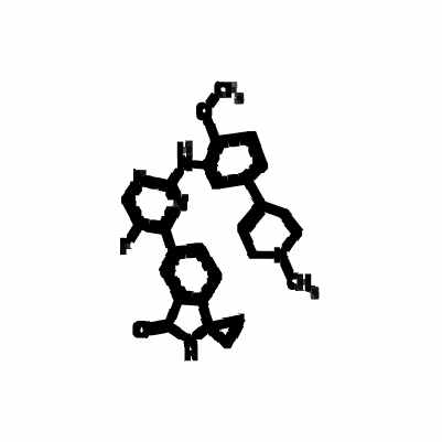 CN1CC=C(c2ccc(OC(F)(F)F)c(Nc3ncc(F)c(-c4ccc5c(c4)C(=O)NC54CC4)n3)c2)CC1